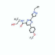 CC(C)Cn1cc(-c2nc(C(=O)N[C@@H](C)CO)cc(-c3ccc(OC(F)(F)F)cc3)n2)cn1